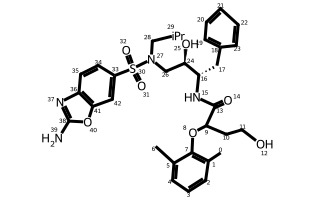 Cc1cccc(C)c1OC(CCO)C(=O)N[C@@H](Cc1ccccc1)[C@H](O)CN(CC(C)C)S(=O)(=O)c1ccc2nc(N)oc2c1